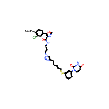 COc1ccc(-c2ocnc2C(=O)NCCCn2cc(CCCCCSc3cccc(N4CCC(=O)NC4=O)c3)nn2)cc1Cl